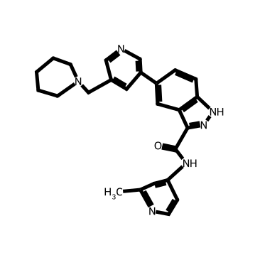 Cc1cc(NC(=O)c2n[nH]c3ccc(-c4cncc(CN5CCCCC5)c4)cc23)ccn1